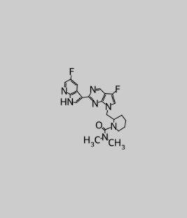 CN(C)C(=O)N1CCCCC1Cn1cc(F)c2cnc(-c3c[nH]c4ncc(F)cc34)nc21